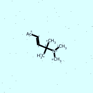 CC(=O)/C=C/C(C)(C)N(C)C